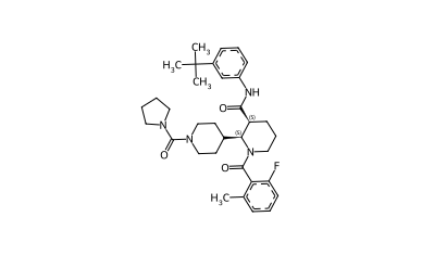 Cc1cccc(F)c1C(=O)N1CCC[C@H](C(=O)Nc2cccc(C(C)(C)C)c2)[C@@H]1C1CCN(C(=O)N2CCCC2)CC1